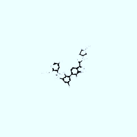 COc1ncc(Cl)cc1S(=O)(=O)Nc1cc(F)cc(-c2ccc3c(C(=O)N[C@@H]4CCN(C)C4)n[nH]c3c2F)c1F